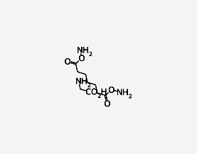 NCC(=O)O.NOC(=O)CCCCCC(=O)ON